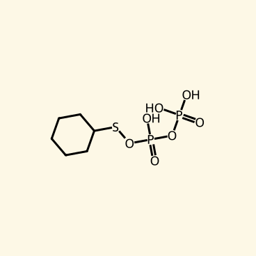 O=P(O)(O)OP(=O)(O)OSC1CCCCC1